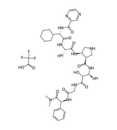 CCC[C@H](NC(=O)[C@@H](NC(=O)c1cnccn1)C1CCCCC1)C(=O)N[C@H]1CNC[C@H]1C(=O)N[C@@H](CCC)C(O)C(=O)NCC(=O)N[C@H](C(=O)N(C)C)c1ccccc1.O=C(O)C(F)(F)F